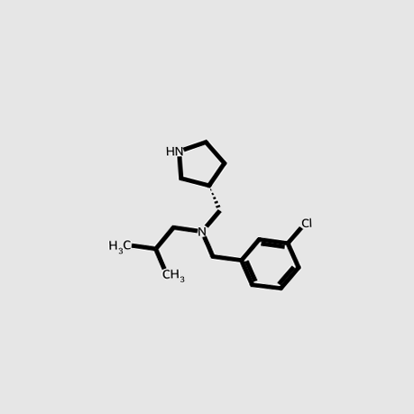 CC(C)CN(Cc1cccc(Cl)c1)C[C@H]1CCNC1